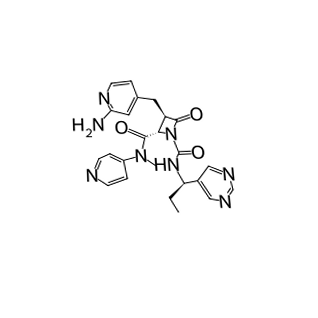 CC[C@@H](NC(=O)N1C(=O)[C@H](Cc2ccnc(N)c2)[C@H]1C(=O)N(C)c1ccncc1)c1cncnc1